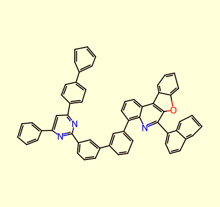 c1ccc(-c2ccc(-c3cc(-c4ccccc4)nc(-c4cccc(-c5cccc(-c6cccc7c6nc(-c6cccc8ccccc68)c6oc8ccccc8c67)c5)c4)n3)cc2)cc1